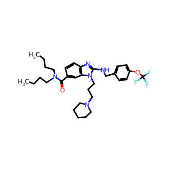 CCCCN(CCCC)C(=O)c1ccc2nc(NCc3ccc(OC(F)(F)F)cc3)n(CCCN3CCCCC3)c2c1